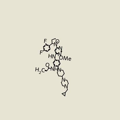 C=CC(=O)Nc1cc(Nc2cc(N3OCCC3c3ccc(F)cc3F)ncn2)c(OC)cc1N1CCC(N2CCN(CC3CC3)CC2)CC1